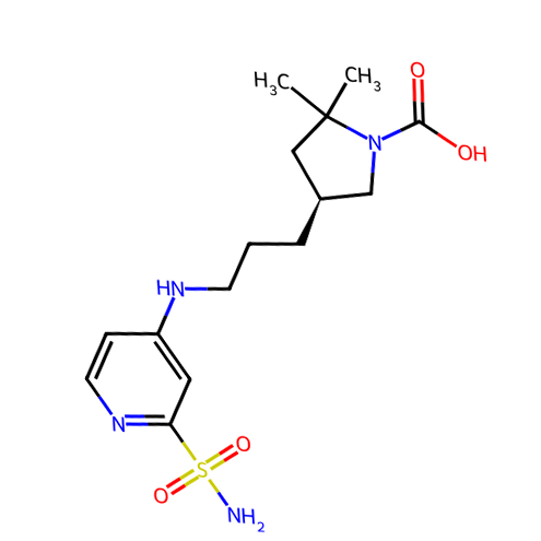 CC1(C)C[C@H](CCCNc2ccnc(S(N)(=O)=O)c2)CN1C(=O)O